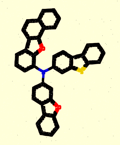 c1ccc2c(c1)ccc1c3cccc(N(c4ccc5c(c4)oc4ccccc45)c4ccc5c(c4)sc4ccccc45)c3oc21